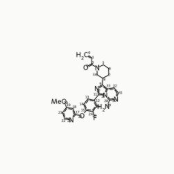 C=CC(=O)N1CCCC(c2nc(-c3ccc(Oc4cc(OC)ccn4)c(F)c3)n3c(N)nccc23)C1